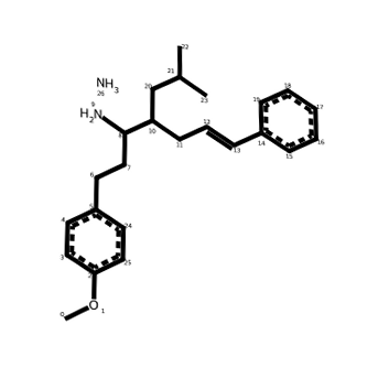 COc1ccc(CCC(N)C(CC=Cc2ccccc2)CC(C)C)cc1.N